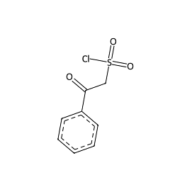 O=C(CS(=O)(=O)Cl)c1ccccc1